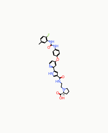 Cc1ccc(F)c(NC(=O)Nc2ccc(Oc3ccnc(-c4cc(C(=O)NCCN5CCC[C@H]5C(=O)O)c[nH]4)c3)cc2)c1